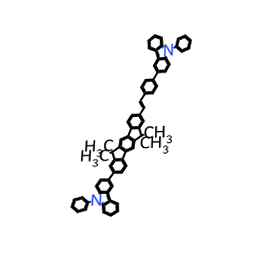 CC1(C)c2cc(/C=C/c3ccc(-c4ccc5c(c4)c4ccccc4n5-c4ccccc4)cc3)ccc2-c2cc3c(cc21)-c1ccc(-c2ccc4c(c2)c2ccccc2n4-c2ccccc2)cc1C3(C)C